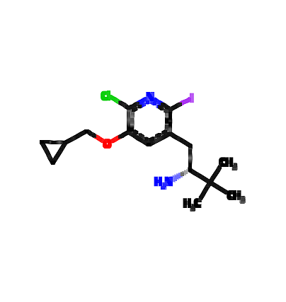 CC(C)(C)[C@H](N)Cc1cc(OCC2CC2)c(Cl)nc1I